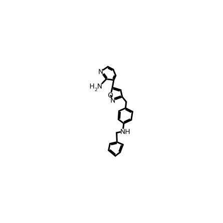 Nc1ncccc1-c1cc(Cc2ccc(NCc3ccccc3)cc2)no1